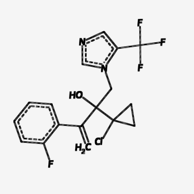 C=C(c1ccccc1F)C(O)(Cn1cncc1C(F)(F)F)C1(Cl)CC1